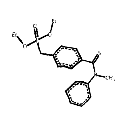 CCOP(=O)(Cc1ccc(C(=S)N(C)c2ccccc2)cc1)OCC